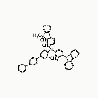 Cc1cc(-c2ccc(-c3ccccc3)cc2)cc(C)c1N(c1ccc(-n2c3ccccc3c3ccccc32)cc1)c1ccc2c(c1)C(C)(C)c1ccccc1-2